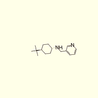 CC(C)(C)[C@H]1CC[C@H](NCc2cccnc2)CC1